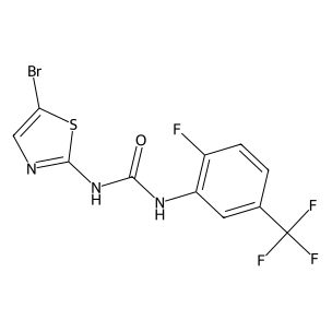 O=C(Nc1ncc(Br)s1)Nc1cc(C(F)(F)F)ccc1F